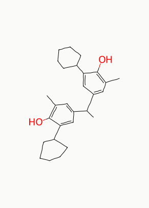 Cc1cc(C(C)c2cc(C)c(O)c(C3CCCCC3)c2)cc(C2CCCCC2)c1O